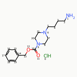 Cl.NCCCCN1CCN(C(=O)OCc2ccccc2)CC1